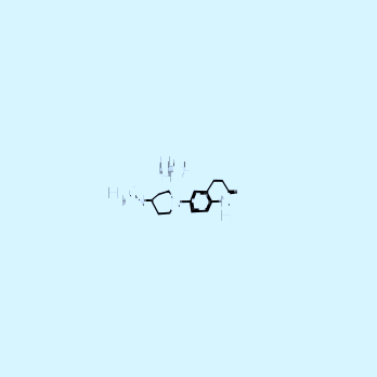 CNC1CCN(c2ccc3c(c2)CCC(=O)N3)CC1.Cl.Cl.O